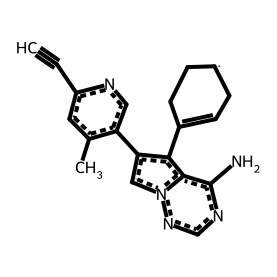 C#Cc1cc(C)c(-c2cn3ncnc(N)c3c2C2=CC[CH]CC2)cn1